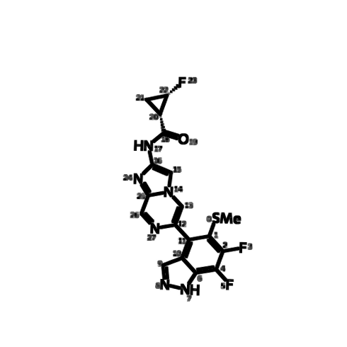 CSc1c(F)c(F)c2[nH]ncc2c1-c1cn2cc(NC(=O)[C@@H]3C[C@@H]3F)nc2cn1